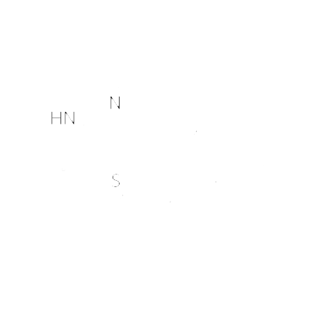 CC(C)(C)CC1=NNCS1